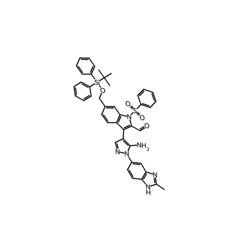 Cc1nc2cc(-n3ncc(-c4c(C=O)n(S(=O)(=O)c5ccccc5)c5cc(CO[Si](c6ccccc6)(c6ccccc6)C(C)(C)C)ccc45)c3N)ccc2[nH]1